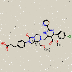 COC[C@@H]1[C@H]2CN(c3ccc(CCC(=O)O)cc3)C(=O)N2CCN1CC1=C(C(=O)OC)C(c2ccc(Cl)cc2)N=C(c2nccs2)N1